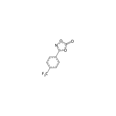 O=c1onc(-c2ccc(C(F)(F)F)cc2)o1